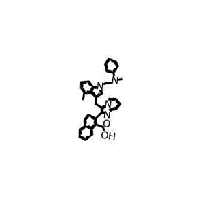 Cc1cccc2c1c(Cc1c(-c3ccc4ccccc4c3C(=O)O)nc3ccccn13)cn2CCN(C)c1ccccc1